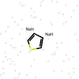 [NaH].[NaH].c1ccsc1